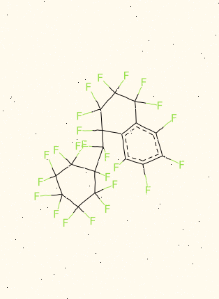 Fc1c(F)c(F)c2c(c1F)C(F)(F)C(F)(F)C(F)(F)C2(F)C(F)(F)C1(F)C(F)(F)C(F)(F)C(F)(F)C(F)(F)C1(F)F